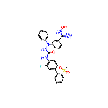 CS(=O)(=O)c1ccccc1-c1ccc(NC(=O)NN(c2ccccc2)c2cccc(C(=N)NO)c2)c(F)c1